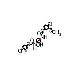 COCc1cc(OCC(=O)NC23CCC(NC(=O)COc4ccc(Cl)c(F)c4)(CC2)[C@@H](O)C3)ccc1Cl